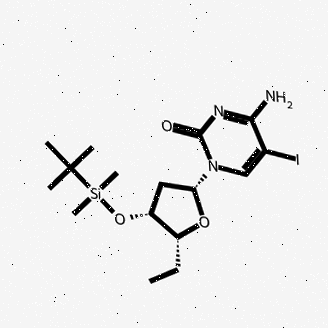 CC[C@H]1O[C@@H](n2cc(I)c(N)nc2=O)C[C@H]1O[Si](C)(C)C(C)(C)C